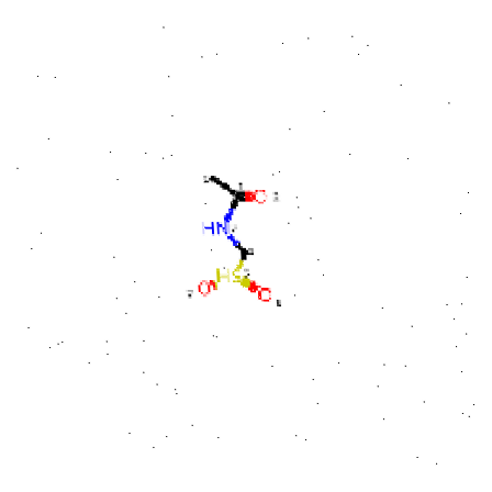 CC(=O)NC[SH](=O)=O